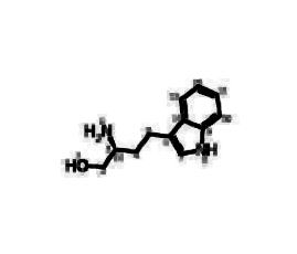 N[C@H](CO)CCc1c[nH]c2ccccc12